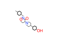 Cc1ccc(CN2OCCC(N3CCC(c4ccc(O)cc4)CC3)C2=O)cc1